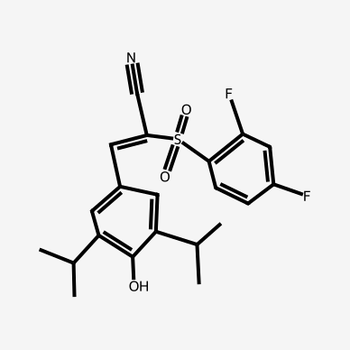 CC(C)c1cc(C=C(C#N)S(=O)(=O)c2ccc(F)cc2F)cc(C(C)C)c1O